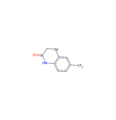 O=C1C[Se]c2cc(C(F)(F)F)ccc2N1